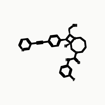 O=C(Nc1cccc(F)c1)N1CCCCN2[C@@H](CO)[C@H](c3ccc(C#Cc4cccnc4)cc3)[C@@H]2C1